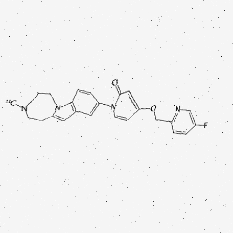 [11CH3]N1CCc2cc3cc(-n4ccc(OCc5ccc(F)cn5)cc4=O)ccc3n2CC1